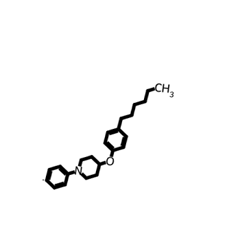 CCCCCCc1ccc(OC2CCN(c3cc[c]cc3)CC2)cc1